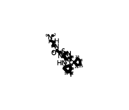 CN(C)CCCNC(=O)c1nc2c(Nc3ccc(F)cc3OC3CCCC3)ncnc2s1